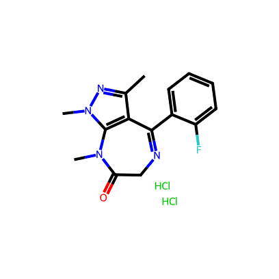 Cc1nn(C)c2c1C(c1ccccc1F)=NCC(=O)N2C.Cl.Cl